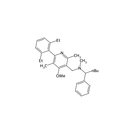 CCCCC(c1ccccc1)N(C)Cc1c(C)nc(-c2c(CC)cccc2CC)c(C)c1OC